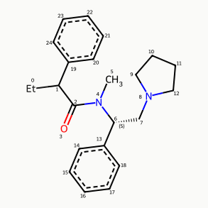 CCC(C(=O)N(C)[C@H](CN1CCCC1)c1ccccc1)c1ccccc1